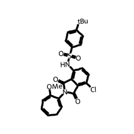 COC1=CC=CCC=C1N1C(=O)c2c(Cl)ccc(NS(=O)(=O)c3ccc(C(C)(C)C)cc3)c2C1=O